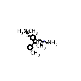 Cc1cccc(-c2c(C)n(C/C(F)=C/CN)c3ccc(SN(C)C)cc23)c1